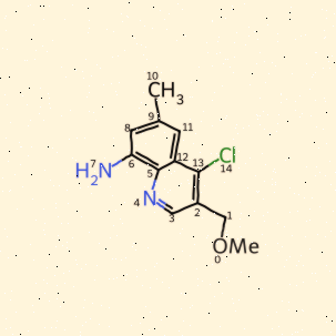 COCc1cnc2c(N)cc(C)cc2c1Cl